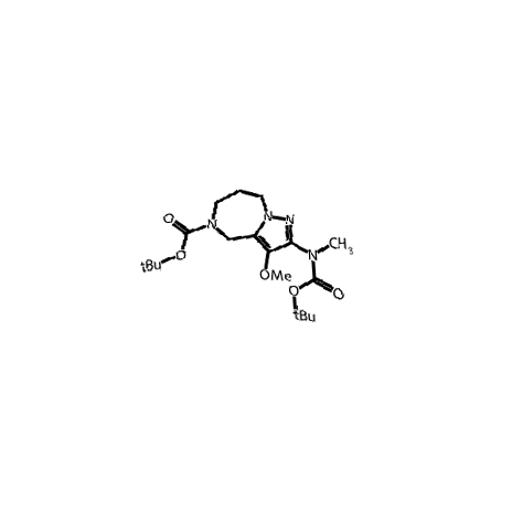 COc1c(N(C)C(=O)OC(C)(C)C)nn2c1CN(C(=O)OC(C)(C)C)CCC2